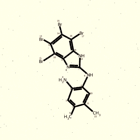 Cc1cc(N)c(Nc2nc3c(Br)c(Br)c(Br)c(Br)c3[nH]2)cc1C